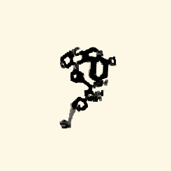 CC(C)(C)N1CCC(N2C=C([C@@H](Nc3cc(Cl)c4ncc(C#N)c(NC5CCCOC5)c4c3)c3ccccc3)NN2)CC1